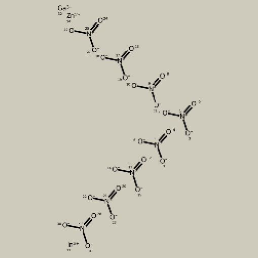 O=[N+]([O-])[O-].O=[N+]([O-])[O-].O=[N+]([O-])[O-].O=[N+]([O-])[O-].O=[N+]([O-])[O-].O=[N+]([O-])[O-].O=[N+]([O-])[O-].O=[N+]([O-])[O-].[Ga+3].[In+3].[Zn+2]